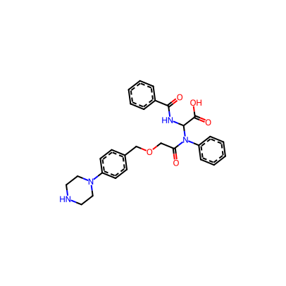 O=C(NC(C(=O)O)N(C(=O)COCc1ccc(N2CCNCC2)cc1)c1ccccc1)c1ccccc1